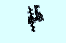 C.C.C.C.C.C.CCCCCCCCCCCC.N=C=O.N=C=O